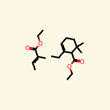 C/C=C(\C)C(=O)OCC.CCOC(=O)C1C(CC)=CCCC1(C)C